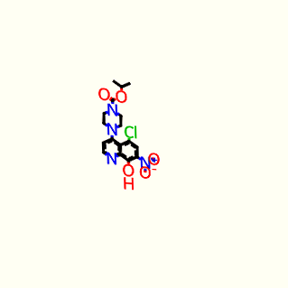 CC(C)OC(=O)N1CCN(c2ccnc3c(O)c([N+](=O)[O-])cc(Cl)c23)CC1